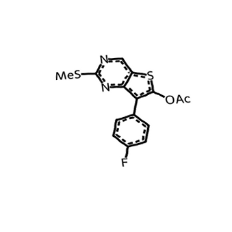 CSc1ncc2sc(OC(C)=O)c(-c3ccc(F)cc3)c2n1